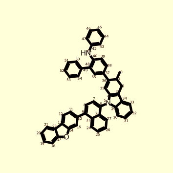 CC1Cc2c(n(-c3ccc(-c4ccc5c(c4)oc4ccccc45)c4ccccc34)c3ccccc23)C=C1c1ccc(Nc2ccccc2)c(-c2ccccc2)c1